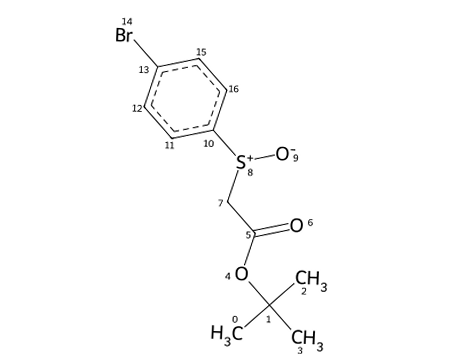 CC(C)(C)OC(=O)C[S+]([O-])c1ccc(Br)cc1